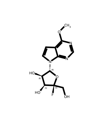 COc1ncnc2c1ccn2[C@@H]1O[C@](F)(CO)[C@@H](O)[C@H]1O